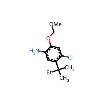 CCC(C)(C)c1cc(N)c(OCOC)cc1Cl